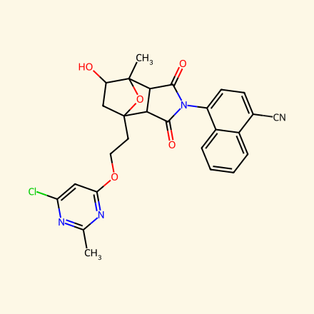 Cc1nc(Cl)cc(OCCC23CC(O)C(C)(O2)C2C(=O)N(c4ccc(C#N)c5ccccc45)C(=O)C23)n1